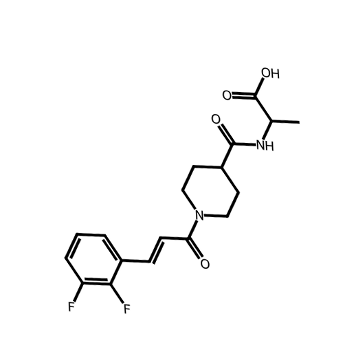 CC(NC(=O)C1CCN(C(=O)C=Cc2cccc(F)c2F)CC1)C(=O)O